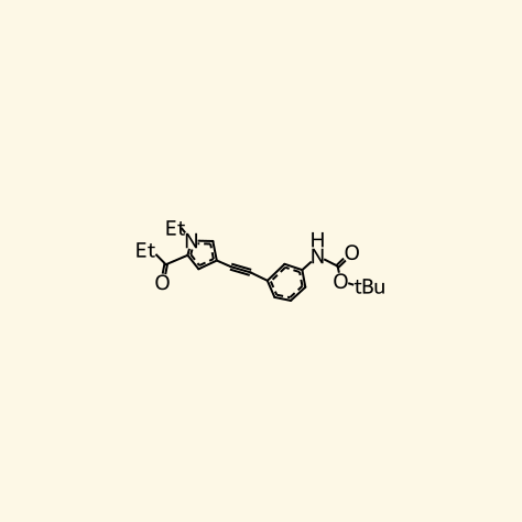 CCC(=O)c1cc(C#Cc2cccc(NC(=O)OC(C)(C)C)c2)cn1CC